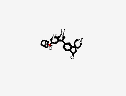 CN1CCC2(CC1)CC(=O)c1ccc(-c3c[nH]c4ncc(C(=O)N5C6CCC5CN(C)C6)cc34)cc12